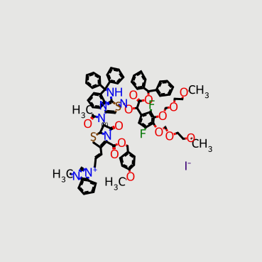 COCCOCOc1c(F)cc(C(ON=S2C=C(N(C(C)=O)[C@@H]3C(=O)N4C(C(=O)OCc5ccc(OC)cc5)=C(C=CC[n+]5cn(C)c6ccccc65)CSC34)N=C2NC(c2ccccc2)(c2ccccc2)c2ccccc2)C(=O)OC(c2ccccc2)c2ccccc2)c(F)c1OCOCCOC.[I-]